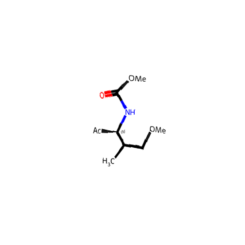 COCC(C)[C@H](NC(=O)OC)C(C)=O